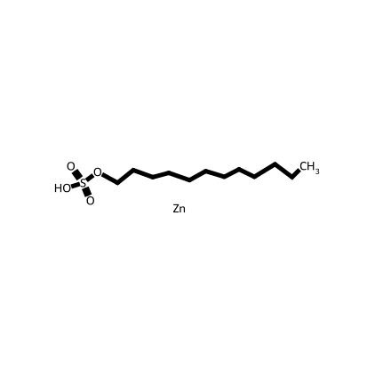 CCCCCCCCCCCCOS(=O)(=O)O.[Zn]